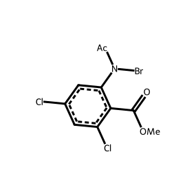 COC(=O)c1c(Cl)cc(Cl)cc1N(Br)C(C)=O